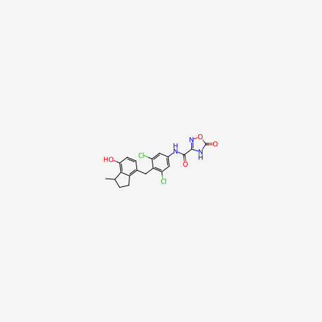 CC1CCc2c(Cc3c(Cl)cc(NC(=O)c4noc(=O)[nH]4)cc3Cl)ccc(O)c21